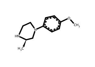 COc1ccc(N2CCN[C@H](C)C2)cc1